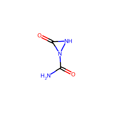 NC(=O)N1NC1=O